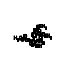 COC(=O)OCC(C)C(c1ccc(OC(=O)OC)c(OC(=O)OC)c1)[C@H](N)C(=O)O